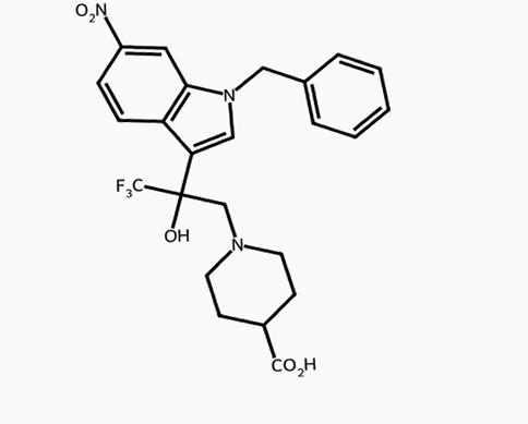 O=C(O)C1CCN(CC(O)(c2cn(Cc3ccccc3)c3cc([N+](=O)[O-])ccc23)C(F)(F)F)CC1